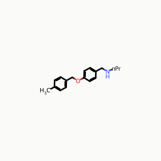 CCCNCc1ccc(OCc2ccc(C)cc2)cc1